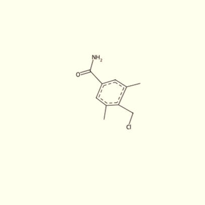 Cc1cc(C(N)=O)cc(C)c1CCl